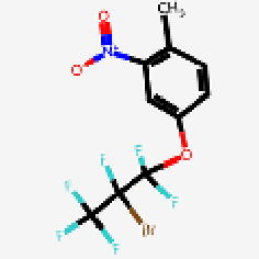 Cc1ccc(OC(F)(F)C(F)(Br)C(F)(F)F)cc1[N+](=O)[O-]